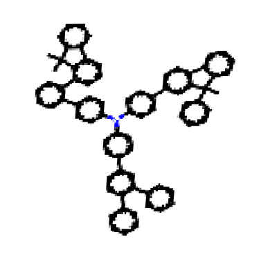 CC1(C)c2ccccc2-c2cccc(-c3ccccc3-c3ccc(N(c4ccc(-c5ccc(-c6ccccc6)c(-c6ccccc6)c5)cc4)c4ccc(-c5ccc6c(c5)C(C)(c5ccccc5)c5ccccc5-6)cc4)cc3)c21